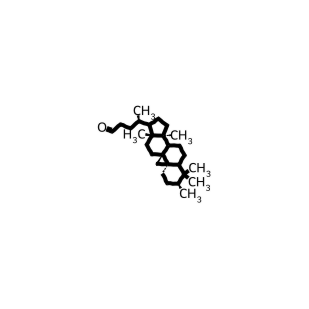 C[C@H](CCC=O)C1CC[C@@]2(C)C3CCC4C(C)(C)[C@@H](C)CC[C@@]45C[C@@]35CC[C@]12C